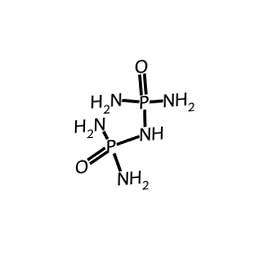 NP(N)(=O)NP(N)(N)=O